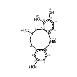 Br.CN1CCc2cc(O)ccc2CCc2ccc(O)c(O)c2C1